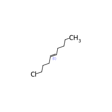 CCCC/C=C/CCCCl